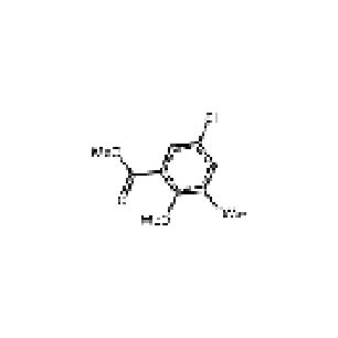 COC(=O)c1cc(Cl)cc(OC)c1OC